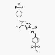 CCS(=O)(=O)c1ccc(CNC(=O)c2nc3c(s2)CN(CC2CCC(C(F)(F)F)CC2)C3C(C)C)nc1